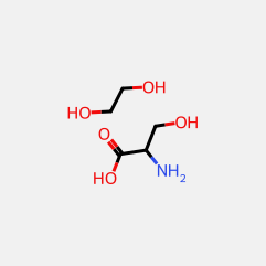 NC(CO)C(=O)O.OCCO